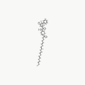 CCC=CCC=CCC=CCC=CCC=CCCCC(=O)N1CCC(NC(=O)C2=CC(=O)C(C)(c3ccccc3)O2)CC1